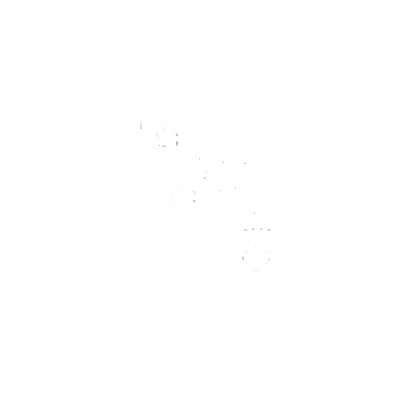 COc1ccc(S(=O)(=O)N(CC(C)C)C[C@H](O)[C@H](Cc2ccccc2)NC(=O)[C@H](C(C)C)N2CCN(Cc3csc(C(=O)C(C)C)n3)C2=O)cc1